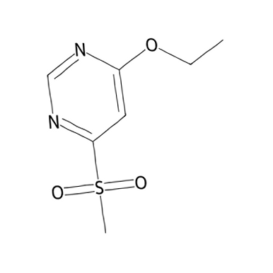 CCOc1cc(S(C)(=O)=O)ncn1